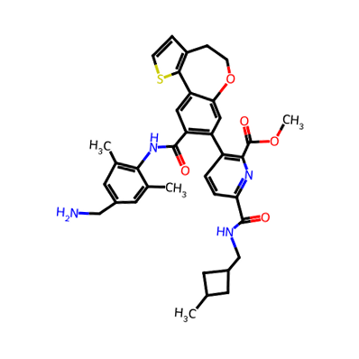 COC(=O)c1nc(C(=O)NCC2CC(C)C2)ccc1-c1cc2c(cc1C(=O)Nc1c(C)cc(CN)cc1C)-c1sccc1CCO2